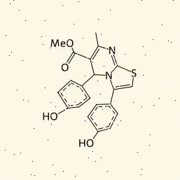 COC(=O)C1=C(C)N=C2SC=C(c3ccc(O)cc3)N2C1c1ccc(O)cc1